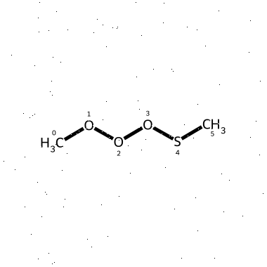 COOOSC